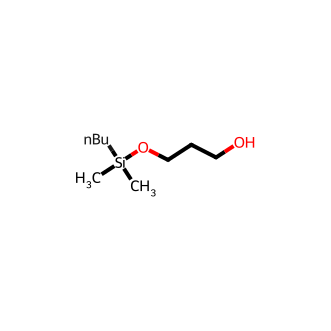 CCCC[Si](C)(C)OCCCO